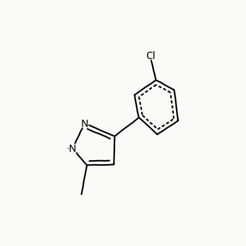 CC1=CC(c2cccc(Cl)c2)=N[N]1